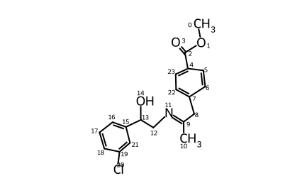 COC(=O)c1ccc(CC(C)=NCC(O)c2cccc(Cl)c2)cc1